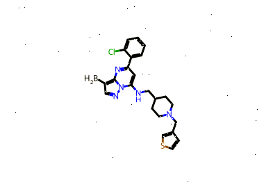 Bc1cnn2c(NCC3CCN(Cc4ccsc4)CC3)cc(-c3ccccc3Cl)nc12